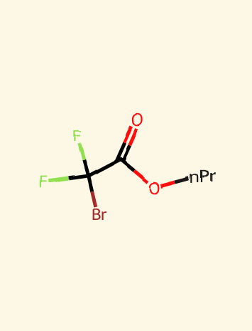 CCCOC(=O)C(F)(F)Br